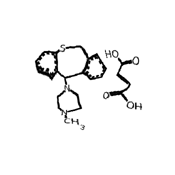 CN1CCN(C2c3ccccc3CSc3ccccc32)CC1.O=C(O)C=CC(=O)O